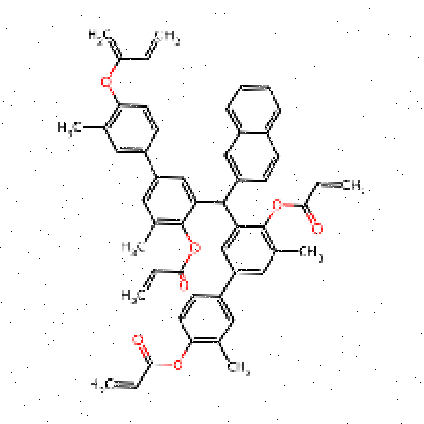 C=CC(=C)Oc1ccc(-c2cc(C)c(OC(=O)C=C)c(C(c3ccc4ccccc4c3)c3cc(-c4ccc(OC(=O)C=C)c(C)c4)cc(C)c3OC(=O)C=C)c2)cc1C